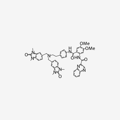 COc1cc(NC(=O)c2cnc3ccccc3n2)c(C(=O)Nc2ccc(CCN(Cc3ccc4c(c3)n(C)c(=O)n4C)Cc3ccc4c(c3)n(C)c(=O)n4C)cc2)cc1OC